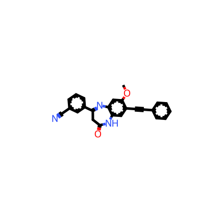 COc1cc2c(cc1C#Cc1ccccc1)NC(=O)CC(c1cccc(C#N)c1)=N2